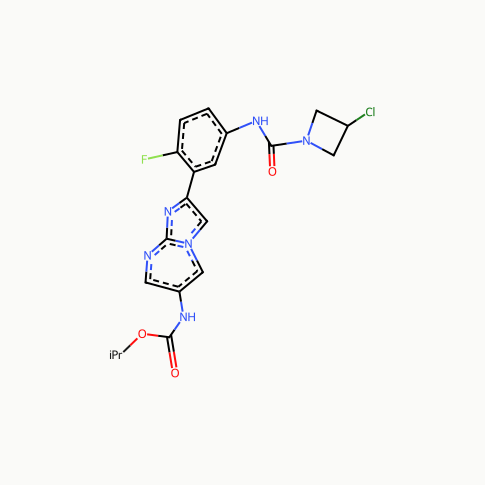 CC(C)OC(=O)Nc1cnc2nc(-c3cc(NC(=O)N4CC(Cl)C4)ccc3F)cn2c1